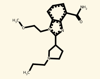 CCCN1CCC(c2nc3c(C(N)=O)cccc3n2CCOC)C1